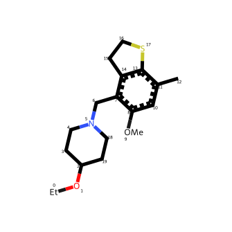 CCOC1CCN(Cc2c(OC)cc(C)c3c2CCS3)CC1